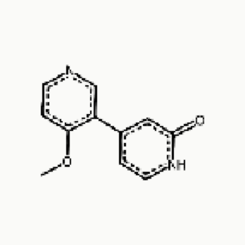 COc1ccncc1-c1cc[nH]c(=O)c1